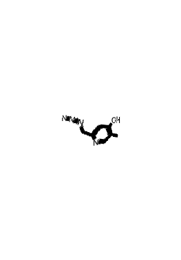 Cc1cnc(CN=[N+]=[N-])cc1O